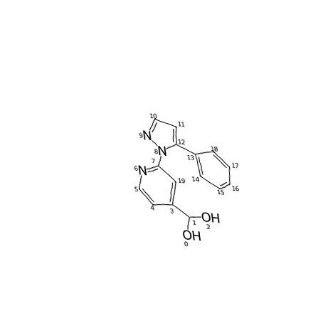 OC(O)c1ccnc(-n2nccc2-c2ccccc2)c1